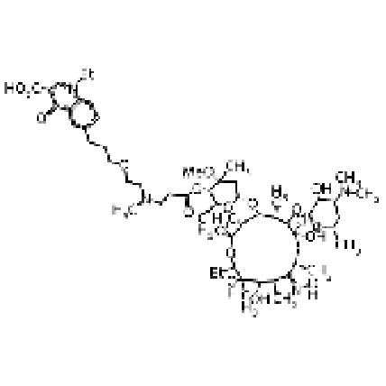 CC[C@H]1OC(=O)[C@H](C)[C@@H](O[C@H]2C[C@@](C)(OC)[C@@H](OC(=O)CCN(C)CCOCCCc3ccc4c(c3)c(=O)c(C(=O)O)cn4CC)[C@H](C)O2)[C@H](C)[C@@H](O[C@H]2O[C@H](C)C[C@H](N(C)C)[C@H]2O)[C@](C)(O)C[C@@H](C)/C(=N\O)[C@@H](C)[C@@H](O)[C@]1(C)O